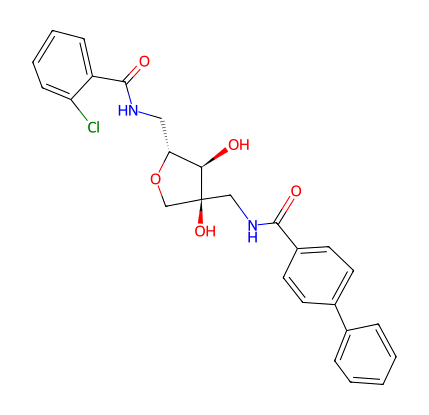 O=C(NC[C@]1(O)CO[C@H](CNC(=O)c2ccccc2Cl)[C@H]1O)c1ccc(-c2ccccc2)cc1